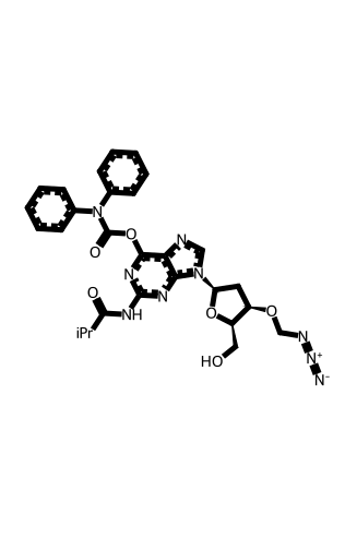 CC(C)C(=O)Nc1nc(OC(=O)N(c2ccccc2)c2ccccc2)c2ncn([C@H]3C[C@@H](OCN=[N+]=[N-])[C@@H](CO)O3)c2n1